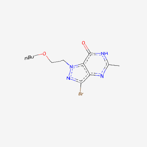 CCCCOCCn1nc(Br)c2nc(C)[nH]c(=O)c21